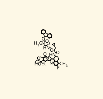 CC[C@@]1(O)C(=O)OCc2c1cc1n(c2=O)Cc2c-1nc1cc(F)c(C)c3c1c2[C@@H](NC(=O)C(CC1CC1)OCNC(=O)CN(C)C(=O)OC1c2ccccc2-c2ccccc21)CC3